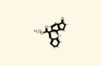 COC(=O)C1=CC2=CCCC=C2Sc2c1ccc1c2CCC1=O